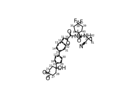 N#CC1(NC(=O)C2(NC(=O)c3cc4ccc(-c5ccc(C6(O)CCS(=O)(=O)CC6)cc5)cc4o3)CCC(F)(F)CC2)CC1